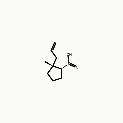 C=CC[C@@]1(C)CCC[C@H]1S(=O)O